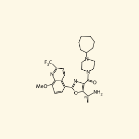 COc1ccc(-c2nc(C(=O)N3CCN(C4CCCCCC4)CC3)c([C@H](C)N)o2)c2ccc(C(F)(F)F)nc12